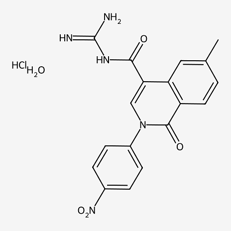 Cc1ccc2c(=O)n(-c3ccc([N+](=O)[O-])cc3)cc(C(=O)NC(=N)N)c2c1.Cl.O